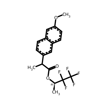 COc1ccc2cc(C(C)C(=O)O[C@H](C)C(F)(F)C(F)(F)F)ccc2c1